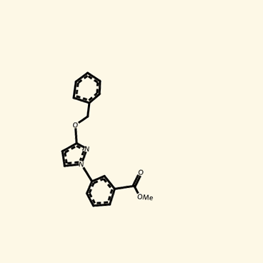 COC(=O)c1cccc(-n2ccc(OCc3ccccc3)n2)c1